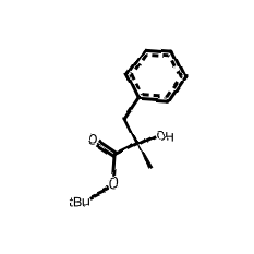 CC(C)(C)OC(=O)[C@@](C)(O)Cc1ccccc1